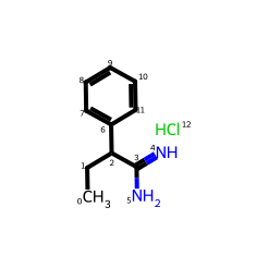 CCC(C(=N)N)c1ccccc1.Cl